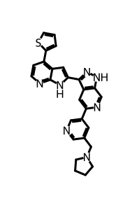 c1csc(-c2ccnc3[nH]c(-c4n[nH]c5cnc(-c6cncc(CN7CCCC7)c6)cc45)cc23)c1